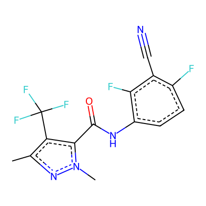 Cc1nn(C)c(C(=O)Nc2ccc(F)c(C#N)c2F)c1C(F)(F)F